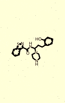 O=C(NC(CCc1ccccc1O)N1CCNCC1)c1nsc2ccccc12